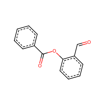 O=Cc1ccccc1OC(=O)c1ccccc1